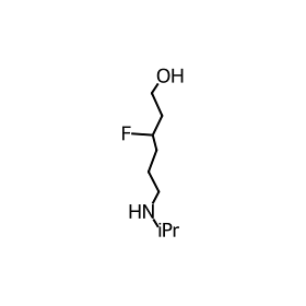 CC(C)NCCCC(F)CCO